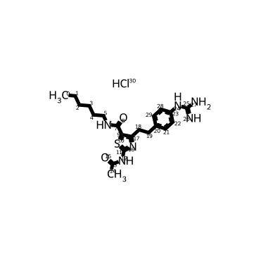 CCCCCCNC(=O)c1sc(NC(C)=O)nc1CCc1ccc(NC(=N)N)cc1.Cl